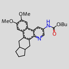 COc1cc2c3c(c4ncc(NC(=O)OCC(C)C)cc4c2cc1OC)CC1CCCC1C3